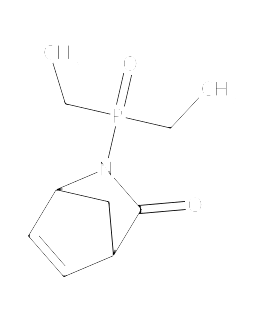 CCP(=O)(CC)N1C(=O)C2C=CC1C2